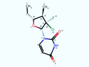 CC[C@H]1O[C@@H](n2ccc(=O)[nH]c2=O)[C@](F)(Cl)[C@@H]1C